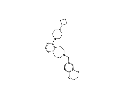 c1nc2c(c(N3CCN(C4CCC4)CC3)n1)CCN(Cc1ccc3c(c1)OCCO3)CC2